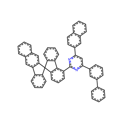 c1ccc(-c2cccc(-c3cc(-c4ccc5ccccc5c4)nc(-c4cccc5c4-c4ccccc4C54c5ccccc5-c5cc6ccccc6cc54)n3)c2)cc1